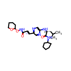 CC(C)C[C@@H](Nc1cnc(/C=C/C(=O)NOC2CCCCO2)cn1)C(=O)NC1CCCCC1